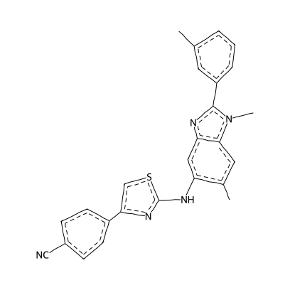 Cc1cccc(-c2nc3cc(Nc4nc(-c5ccc(C#N)cc5)cs4)c(C)cc3n2C)c1